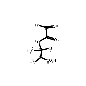 CC(C)C(=O)C(=O)OC(C)(C)C(O)C(=O)O